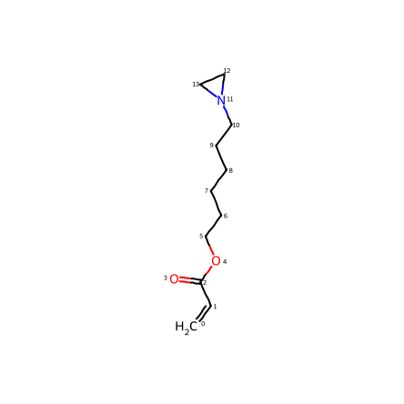 C=CC(=O)OCCCCCCN1CC1